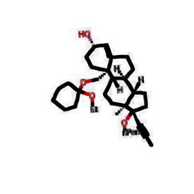 CC#C[C@]1(OCCCCC)CC[C@H]2[C@@H]3CCC4=C[C@@H](O)CC[C@]4(COC4(OCC)CCCCC4)[C@H]3CC[C@@]21C